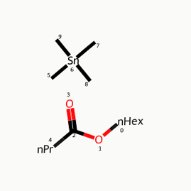 CCCCCCOC(=O)CCC.[CH3][Sn]([CH3])([CH3])[CH3]